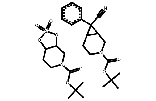 CC(C)(C)OC(=O)N1CCC2C(C1)C2(C#N)c1ccccc1.CC(C)(C)OC(=O)N1CCC2OS(=O)(=O)OC2C1